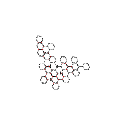 c1ccc(-c2cccc(-c3cccc(-c4cccc(-c5ccccc5)c4)c3N3c4cc(-c5c6ccccc6c(-c6ccccc6)c6ccccc56)ccc4B4c5ccc(-c6c7ccccc7c(-c7ccccc7)c7ccccc67)cc5N(c5c(-c6cccc(-c7ccccc7)c6)cccc5-c5cccc(-c6ccccc6)c5)c5cc(N(c6ccccc6)c6ccccc6)cc3c54)c2)cc1